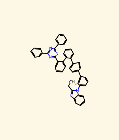 CCc1nc2ccccc2n1-c1cccc(-c2ccc(-c3ccccc3-c3ccccc3-c3nc(-c4ccccc4)nc(-c4ccccc4)n3)cc2)c1